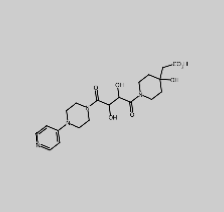 O=C(O)CC1(O)CCN(C(=O)C(O)C(O)C(=O)N2CCN(c3ccncc3)CC2)CC1